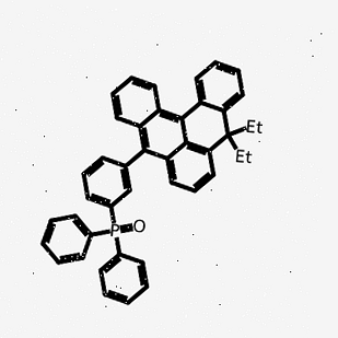 CCC1(CC)c2ccccc2-c2c3ccccc3c(-c3cccc(P(=O)(c4ccccc4)c4ccccc4)c3)c3cccc1c23